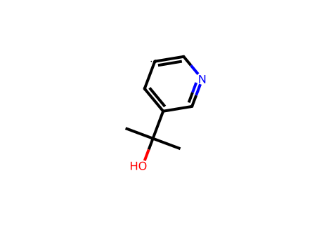 CC(C)(O)c1c[c]cnc1